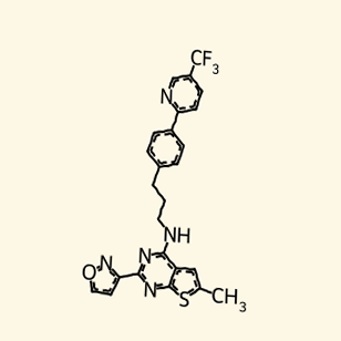 Cc1cc2c(NCCCc3ccc(-c4ccc(C(F)(F)F)cn4)cc3)nc(-c3ccon3)nc2s1